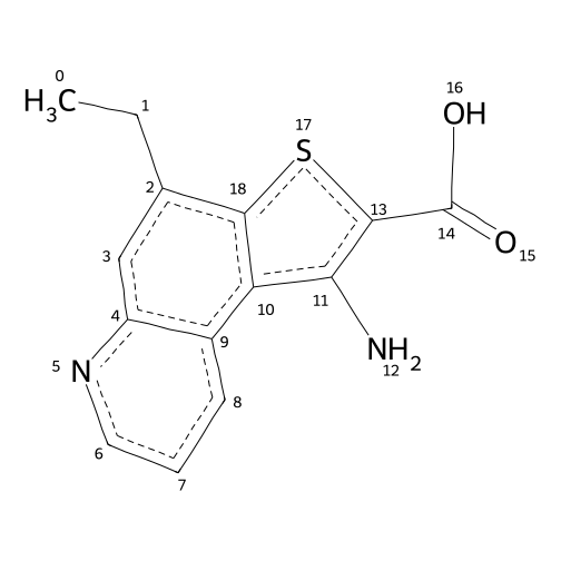 CCc1cc2ncccc2c2c(N)c(C(=O)O)sc12